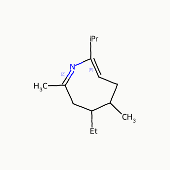 CCC1C/C(C)=N\C(C(C)C)=C\CC1C